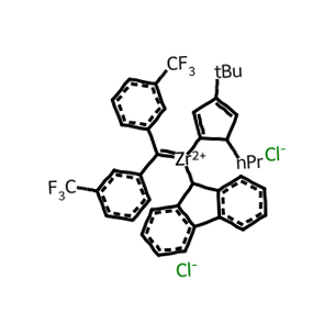 CCCC1C=C(C(C)(C)C)C=[C]1[Zr+2](=[C](c1cccc(C(F)(F)F)c1)c1cccc(C(F)(F)F)c1)[CH]1c2ccccc2-c2ccccc21.[Cl-].[Cl-]